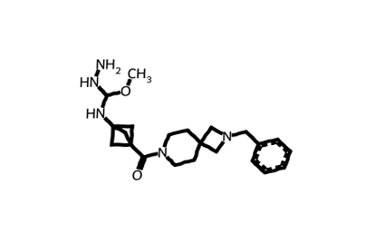 COC(NN)NC12CC(C(=O)N3CCC4(CC3)CN(Cc3ccccc3)C4)(C1)C2